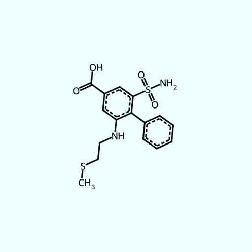 CSCCNc1cc(C(=O)O)cc(S(N)(=O)=O)c1-c1ccccc1